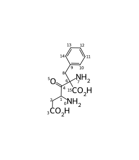 NC(CC(=O)O)C(=O)C(N)(Cc1ccccc1)C(=O)O